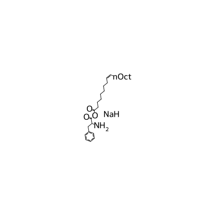 CCCCCCCC/C=C\CCCCCCCC(=O)OC(=O)C(N)Cc1ccccc1.[NaH]